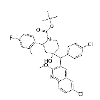 COc1nc2ccc(Cl)cc2cc1C(c1ccc(Cl)cc1)C1(O)CCN(C(=O)OC(C)(C)C)C(c2ccc(F)cc2C)C1